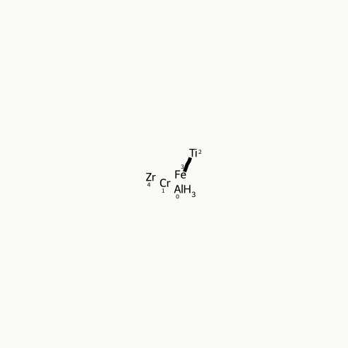 [AlH3].[Cr].[Ti][Fe].[Zr]